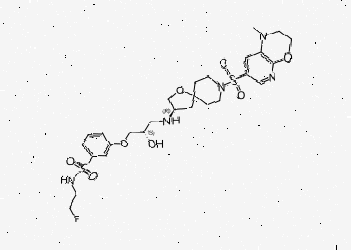 CN1CCOc2ncc(S(=O)(=O)N3CCC4(CC3)C[C@@H](NC[C@H](O)COc3cccc(S(=O)(=O)NCCF)c3)CO4)cc21